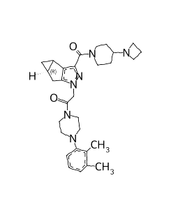 Cc1cccc(N2CCN(C(=O)Cn3nc(C(=O)N4CCC(N5CCC5)CC4)c4c3C[C@H]3CC43)CC2)c1C